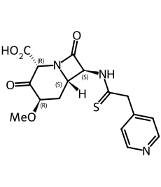 CO[C@@H]1C[C@H]2[C@H](NC(=S)Cc3ccncc3)C(=O)N2[C@@H](C(=O)O)C1=O